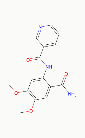 COc1cc(NC(=O)c2cccnc2)c(C(N)=O)cc1OC